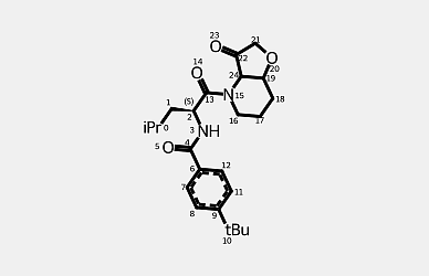 CC(C)C[C@H](NC(=O)c1ccc(C(C)(C)C)cc1)C(=O)N1CCCC2OCC(=O)C21